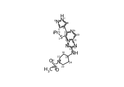 CC(C)Sc1c(-c2cn[nH]c2)ncc2nc(NC3CCN(S(C)(=O)=O)CC3)nn12